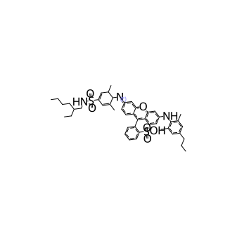 CCCCC(CC)CNS(=O)(=O)C1=CC(C)C(/N=c2\ccc3c(-c4ccccc4S(=O)(=O)O)c4ccc(Nc5c(C)cc(CCC)cc5C)cc4oc-3c2)C(C)=C1